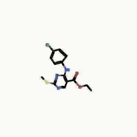 CCOC(=O)c1cnc(SC)nc1Nc1ccc(Cl)cc1